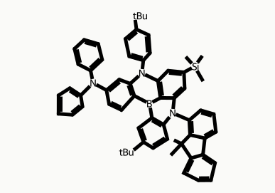 CC(C)(C)c1ccc(N2c3cc(N(c4ccccc4)c4ccccc4)ccc3B3c4cc(C(C)(C)C)ccc4N(c4cccc5c4C(C)(C)c4ccccc4-5)c4cc([Si](C)(C)C)cc2c43)cc1